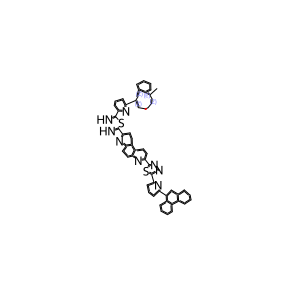 CC1=c2/cccc/c2=C/C(c2cccc(C(=N)SC(=N)c3ccc4c(ccc5nc(-c6nnc(-c7cccc(-c8cc9ccccc9c9ccccc89)n7)s6)ccc54)n3)n2)=C/CC/C=C\1